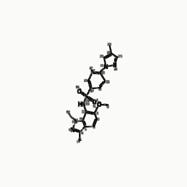 COc1ccc2c(F)nn(C)c2c1NS(=O)(=O)c1ccc(-n2cc(C)cn2)nc1